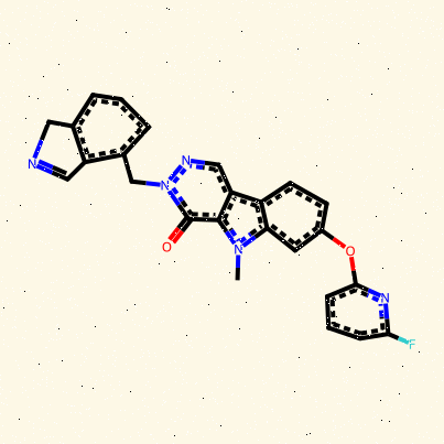 Cn1c2cc(Oc3cccc(F)n3)ccc2c2cnn(Cc3cccc4c3C=NC4)c(=O)c21